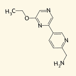 CCOc1cncc(-c2ccc(CN)nc2)n1